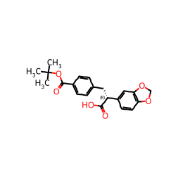 CC(C)(C)OC(=O)c1ccc(C[C@@H](C(=O)O)c2ccc3c(c2)OCO3)cc1